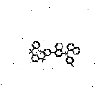 Cc1ccc(N(c2ccc(-c3ccc4c(c3)C(C)(C)c3cccc5c3N4c3ccccc3C5(C)C)c3c2CCC=C3)c2cccc3ccccc23)cc1